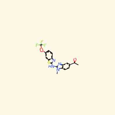 CC(=O)c1ccc2c(c1)nc(Nc1nc3ccc(OC(F)(F)F)cc3s1)n2C